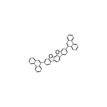 c1ccc2c(c1)cc(-c1ccc3c(c1)oc1c3ccc3c4ccc(-c5cc6ccccc6c6ccccc56)cc4oc31)c1ccccc12